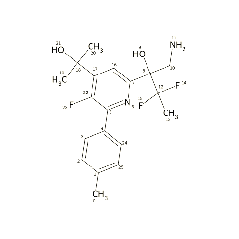 Cc1ccc(-c2nc(C(O)(CN)C(C)(F)F)cc(C(C)(C)O)c2F)cc1